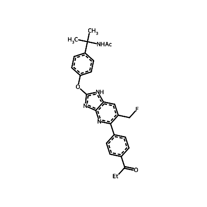 CCC(=O)c1ccc(-c2nc3nc(Oc4ccc(C(C)(C)NC(C)=O)cc4)[nH]c3cc2CF)cc1